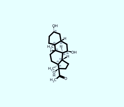 CC(=O)[C@@]1(O)CC[C@H]2[C@@H]3[C@H](O)C[C@H]4C[C@@H](O)CC[C@]4(C)[C@H]3CC[C@@]21C